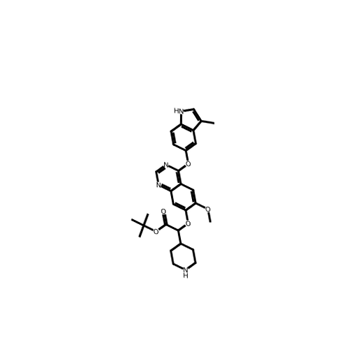 COc1cc2c(Oc3ccc4[nH]cc(C)c4c3)ncnc2cc1OC(C(=O)OC(C)(C)C)C1CCNCC1